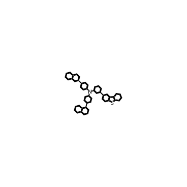 c1cc(-c2ccc3sc4ccccc4c3c2)cc(N(c2ccc(-c3ccc4ccccc4c3)cc2)c2ccc(-c3cccc4ccccc34)cc2)c1